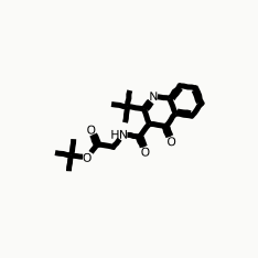 CC(C)(C)OC(=O)CNC(=O)C1C(=O)c2ccccc2N=C1C(C)(C)C